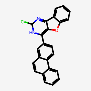 ClC1N=c2c(oc3ccccc23)=C(c2ccc3c(ccc4ccccc43)c2)N1